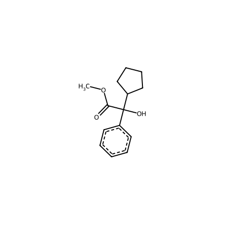 COC(=O)C(O)(c1ccccc1)C1CCCC1